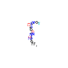 Cn1c(C(=O)N2CCN(Cc3ccc(F)cc3)CC2)cc2ccc(Oc3cnc(-c4nc(-c5ccc(C(F)(F)F)cc5)no4)cn3)cc21